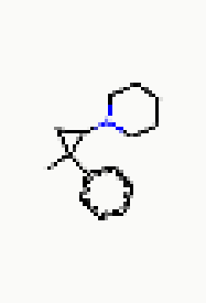 CC1(c2ccccc2)CC1N1CCCCC1